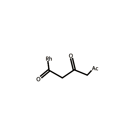 CC(=O)CC(=O)C[C](=O)[Rh]